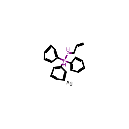 C=CCP[PH](c1ccccc1)(c1ccccc1)c1ccccc1.[Ag]